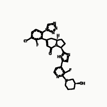 O=C1C=C(c2c(-n3cnnn3)ccc(Cl)c2F)C[C@H]2CC[C@@H](c3ncc(-c4ccnc(N5CCC[C@H](O)C5)c4F)[nH]3)N12